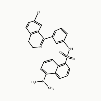 CN(C)c1cccc2c(S(=O)(=O)Nc3cccc(C4=NCCc5ccc(Cl)cc54)c3)cccc12